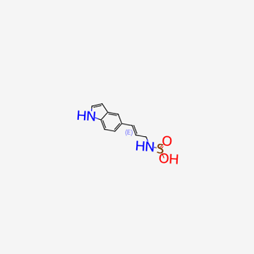 O=S(O)NC/C=C/c1ccc2[nH]ccc2c1